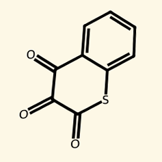 O=C1Sc2ccccc2C(=O)C1=O